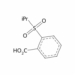 CC(C)S(=O)(=O)c1ccccc1C(=O)O